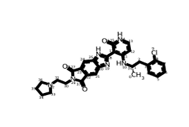 C[C@@H](Cc1ccccc1Cl)Nc1cc[nH]c(=O)c1-c1nc2cc3c(cc2[nH]1)C(=O)N(CCN1CCCC1)C3=O